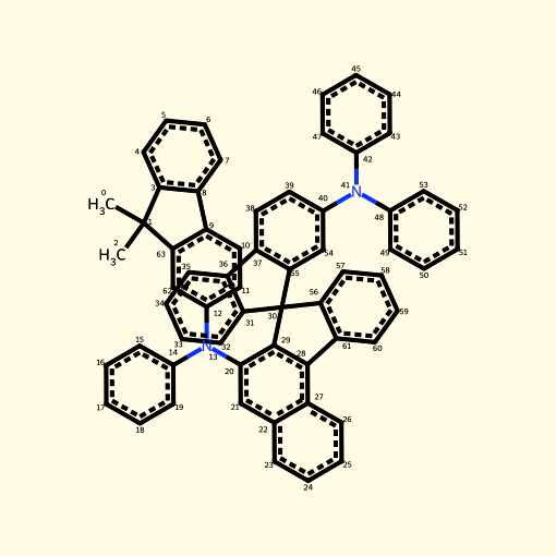 CC1(C)c2ccccc2-c2ccc(N(c3ccccc3)c3cc4ccccc4c4c3C3(c5ccccc5-c5ccc(N(c6ccccc6)c6ccccc6)cc53)c3ccccc3-4)cc21